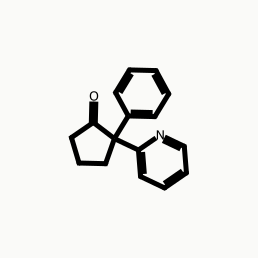 O=C1CCCC1(c1ccccc1)c1ccccn1